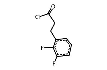 O=C(Cl)CCc1cccc(F)c1F